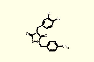 Cc1ccc(Cn2sc(=O)n(Cc3ccc(Cl)c(Cl)c3)c2=O)cc1